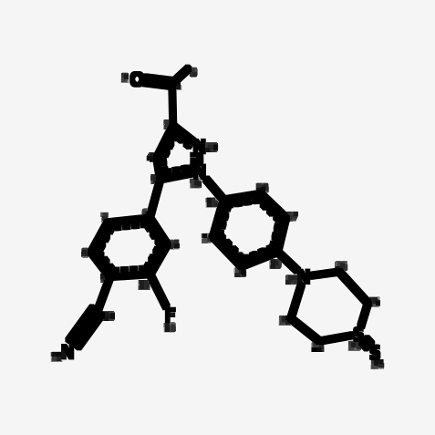 CC(=O)c1cc(-c2ccc(C#N)c(F)c2)n(-c2ccc(N3CCS(=S)CC3)cc2)n1